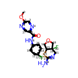 COc1cnc(C(=O)Nc2ccc(F)c([C@]34COC[C@]3(F)CN=C(N)S4)c2)cn1